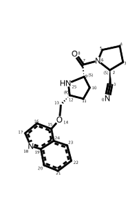 N#C[C@@H]1CCCN1C(=O)[C@@H]1CC[C@H](COc2ccnc3ccccc23)N1